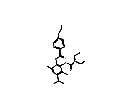 CCCc1ccc(C(=O)Oc2c(C)cc(C(C)C)c(C)c2OC(=O)N(CC)CC)cc1